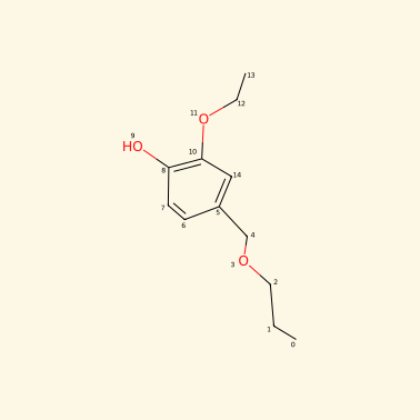 CCCOCc1ccc(O)c(OCC)c1